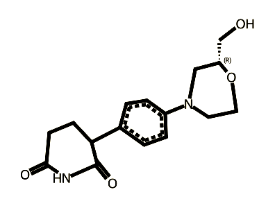 O=C1CCC(c2ccc(N3CCO[C@@H](CO)C3)cc2)C(=O)N1